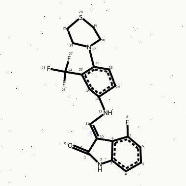 O=C1Nc2cccc(F)c2/C1=C\Nc1ccc(N2CCSCC2)c(C(F)(F)F)c1